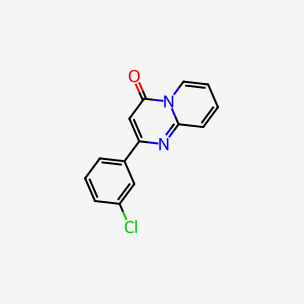 O=c1cc(-c2cccc(Cl)c2)nc2ccccn12